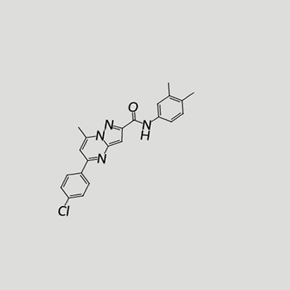 Cc1ccc(NC(=O)c2cc3nc(-c4ccc(Cl)cc4)cc(C)n3n2)cc1C